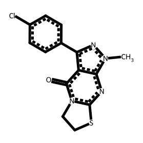 Cn1nc(-c2ccc(Cl)cc2)c2c(=O)n3c(nc21)SCC3